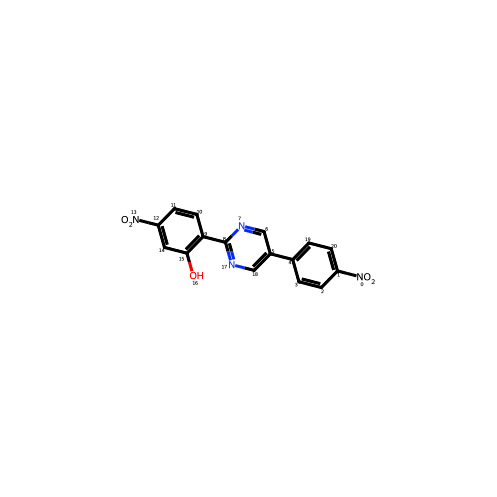 O=[N+]([O-])c1ccc(-c2cnc(-c3ccc([N+](=O)[O-])cc3O)nc2)cc1